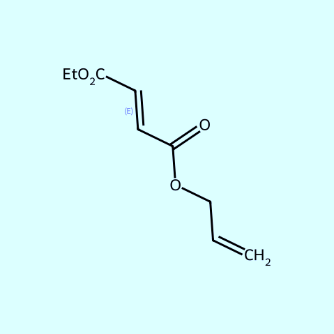 C=CCOC(=O)/C=C/C(=O)OCC